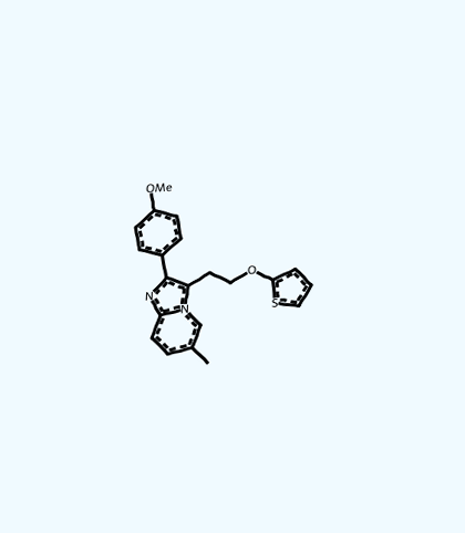 COc1ccc(-c2nc3ccc(C)cn3c2CCOc2cccs2)cc1